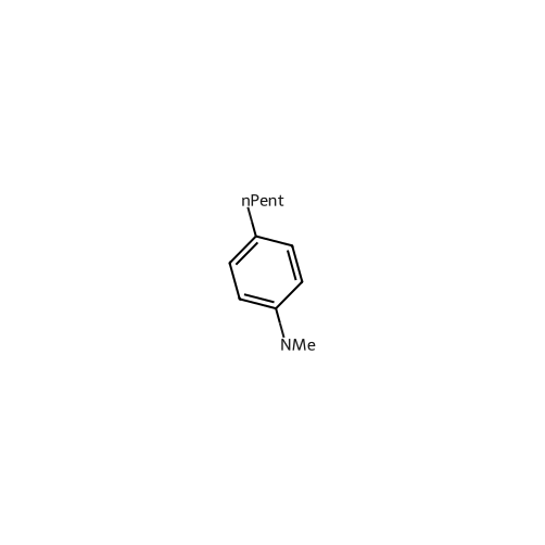 CCCCCc1ccc(NC)cc1